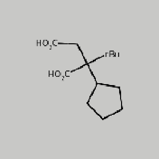 CCCCC(CC(=O)O)(C(=O)O)C1CCCC1